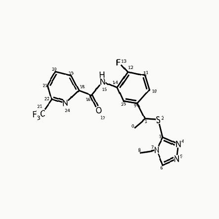 CC(Sc1nncn1C)c1ccc(F)c(NC(=O)c2cccc(C(F)(F)F)n2)c1